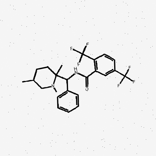 CC1CCC(C)(C(NC(=O)c2cc(C(F)(F)F)ccc2C(F)(F)F)c2ccccc2)N(C)C1